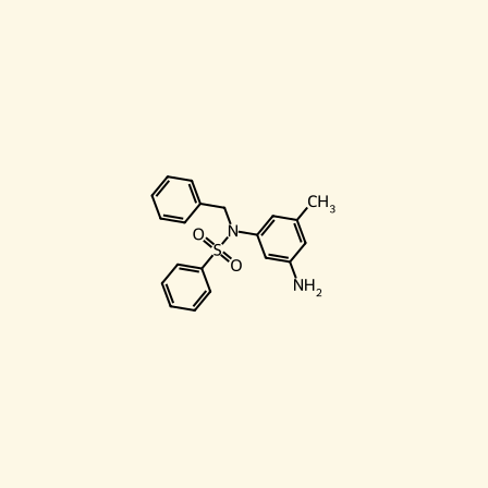 Cc1cc(N)cc(N(Cc2ccccc2)S(=O)(=O)c2ccccc2)c1